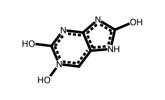 Oc1nc2nc(O)[n+](O)cc2[nH]1